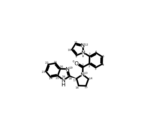 O=C(c1ccccc1-n1cccn1)N1CCC[C@H]1c1nc2ccccc2[nH]1